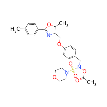 CC(=O)ON(Cc1ccc(OCc2nc(-c3ccc(C)cc3)oc2C)cc1)S(=O)(=O)N1CCOCC1